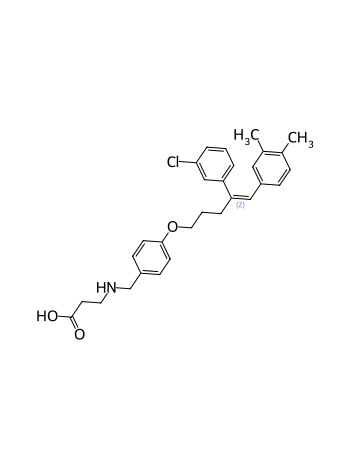 Cc1ccc(/C=C(/CCCOc2ccc(CNCCC(=O)O)cc2)c2cccc(Cl)c2)cc1C